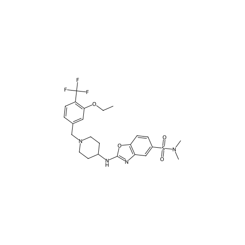 CCOc1cc(CN2CCC(Nc3nc4cc(S(=O)(=O)N(C)C)ccc4o3)CC2)ccc1C(F)(F)F